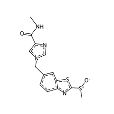 CNC(=O)c1cn(Cc2ccc3nc([S+](C)[O-])sc3c2)cn1